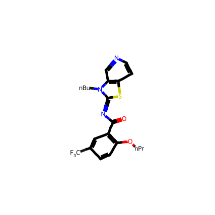 C[CH]COc1ccc(C(F)(F)F)cc1C(=O)/N=c1\sc2ccncc2n1CCCC